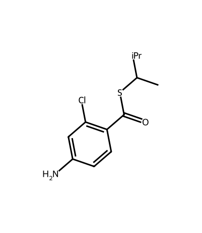 CC(C)C(C)SC(=O)c1ccc(N)cc1Cl